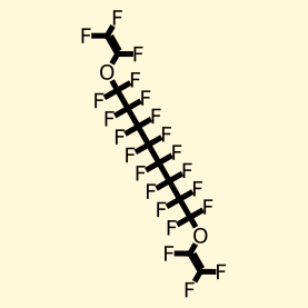 FC(F)=C(F)OC(F)(F)C(F)(F)C(F)(F)C(F)(F)C(F)(F)C(F)(F)C(F)(F)C(F)(F)OC(F)=C(F)F